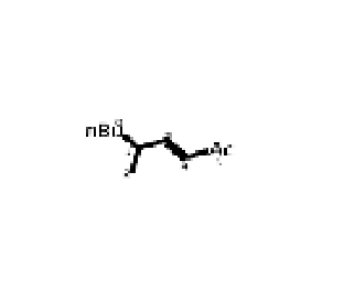 CCCCC(C)C=CC(C)=O